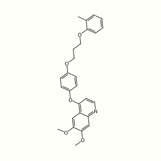 COc1cc2nccc(Oc3ccc(OCCCOc4ccccc4C)cc3)c2cc1OC